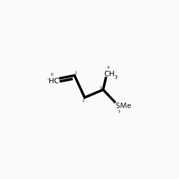 [CH]=CCC(C)SC